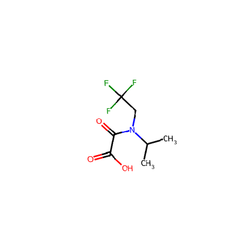 CC(C)N(CC(F)(F)F)C(=O)C(=O)O